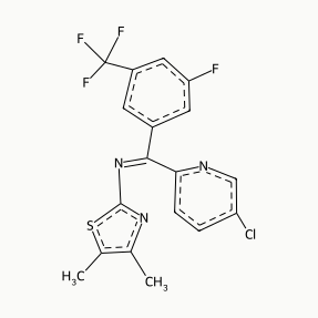 Cc1nc(/N=C(/c2cc(F)cc(C(F)(F)F)c2)c2ccc(Cl)cn2)sc1C